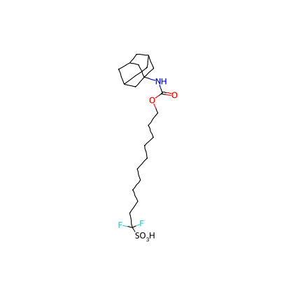 O=C(NC12CC3CC(CC(C3)C1)C2)OCCCCCCCCCCC(F)(F)S(=O)(=O)O